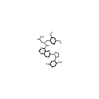 COc1ccc(C[C@H](CC(C)O)Nc2ncnc3ccc(N4CCCC4c4cc(F)ccc4O)nc23)c(OC)c1